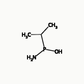 CC(C)P(N)O